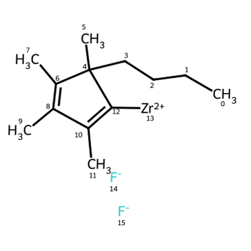 CCCCC1(C)C(C)=C(C)C(C)=[C]1[Zr+2].[F-].[F-]